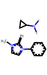 Cn1ccn(-c2ccccc2)[c]1=[Pt].IN(I)C1CC1